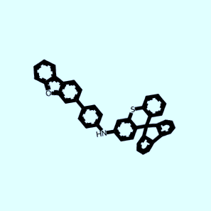 c1ccc2c(c1)Sc1cc(Nc3ccc(-c4ccc5c(c4)oc4ccccc45)cc3)ccc1C21c2ccccc2-c2ccccc21